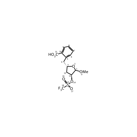 COC1O[C@@H](Cc2ccccc2C(=O)O)C[C@@H]1OS(=O)(=O)C(F)(F)F